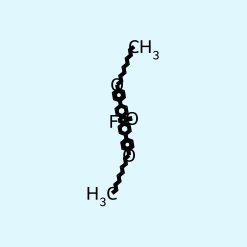 CCCCCCCCCOc1ccc(C2CCC3(CC2)C(=O)C2(CCC(c4ccc(OCCCCCCCCC)cc4)CC2)C3F)cc1